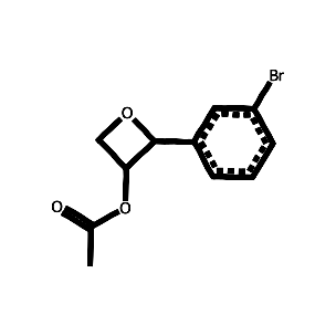 CC(=O)OC1COC1c1cccc(Br)c1